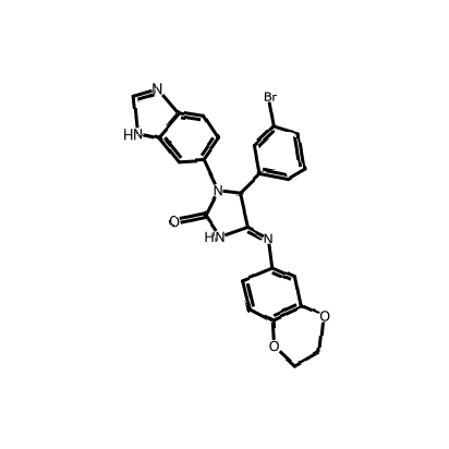 O=C1NC(=Nc2ccc3c(c2)OCCO3)C(c2cccc(Br)c2)N1c1ccc2nc[nH]c2c1